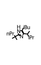 CCCC(C)(C)c1nc(C(C)C(C)C)c(C(C)CC)[nH]1